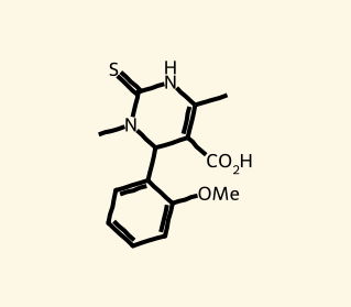 COc1ccccc1C1C(C(=O)O)=C(C)NC(=S)N1C